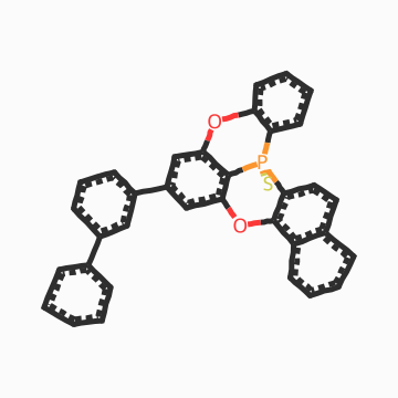 S=P12c3ccccc3Oc3cc(-c4cccc(-c5ccccc5)c4)cc(c31)Oc1c2ccc2ccccc12